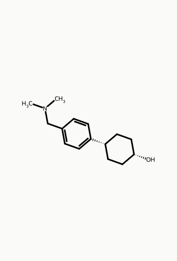 CN(C)Cc1ccc([C@H]2CC[C@@H](O)CC2)cc1